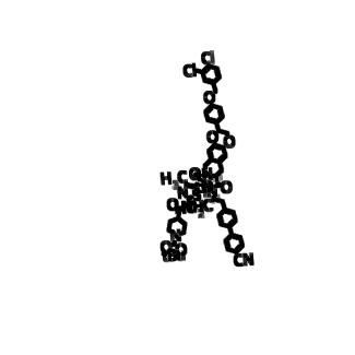 Cc1nc(NC(=O)C2CCN(C(=O)OC(C)(C)C)CC2)sc1S(=O)(=O)N1Cc2cc3c(cc2C[C@H]1C(=O)N[C@@H](Cc1ccc(-c2ccc(C#N)cc2)cc1)C(=O)O)OCC(c1ccc(OCc2ccc(Cl)c(Cl)c2)cc1)O3